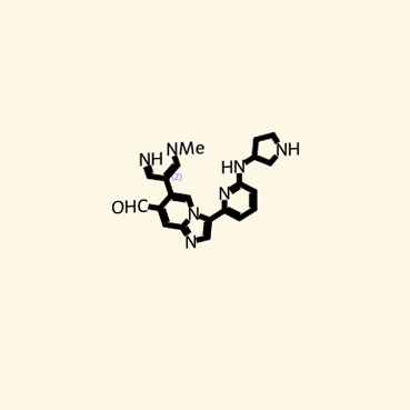 CN/C=C(\C=N)c1cn2c(-c3cccc(NC4CCNC4)n3)cnc2cc1C=O